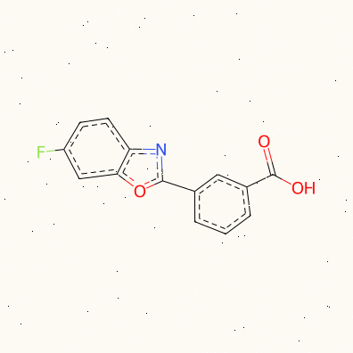 O=C(O)c1cccc(-c2nc3ccc(F)cc3o2)c1